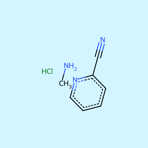 CN.Cl.N#Cc1ccccn1